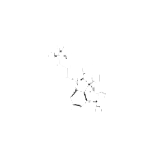 CC1=[N+](CCCS(=O)(=O)[O-])c2cccc(C(=O)O)c2C1(C)C